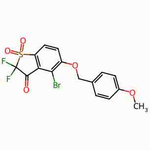 COc1ccc(COc2ccc3c(c2Br)C(=O)C(F)(F)S3(=O)=O)cc1